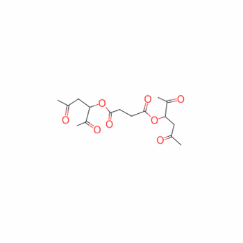 CC(=O)CC(OC(=O)CCC(=O)OC(CC(C)=O)C(C)=O)C(C)=O